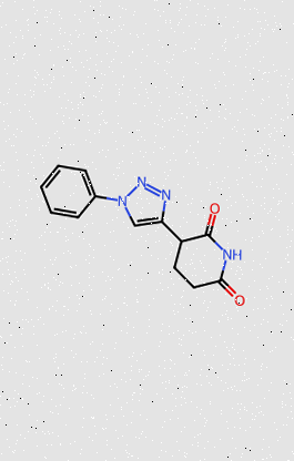 O=C1CCC(c2cn(-c3ccccc3)nn2)C(=O)N1